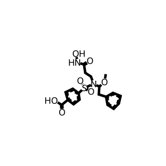 COC(Cc1ccccc1)N(CCC(=O)NO)S(=O)(=O)c1ccc(C(=O)O)cc1